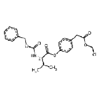 CC(C)[C@H](NC(=O)OCc1ccccc1)C(=O)Oc1ccc(CC(=O)OCCl)cc1